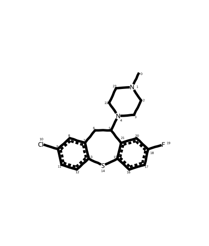 CN1CCN(C2Cc3cc(Cl)ccc3Sc3ccc(F)cc32)CC1